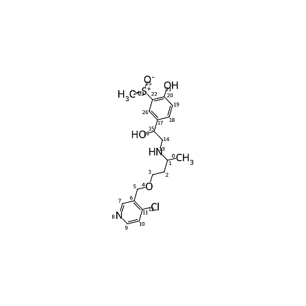 CC(CCOCc1cnccc1Cl)NCC(O)c1ccc(O)c([S+](C)[O-])c1